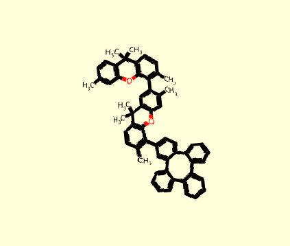 Cc1ccc2c(c1)Oc1c(ccc(C)c1-c1cc3c(cc1C)Oc1c(ccc(C)c1-c1ccc4c(c1)-c1ccccc1-c1ccccc1-c1ccccc1-4)C3(C)C)C2(C)C